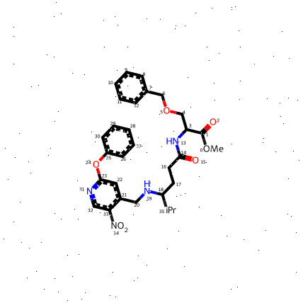 COC(=O)C(COCc1ccccc1)NC(=O)CCC(NCc1cc(Oc2ccccc2)ncc1[N+](=O)[O-])C(C)C